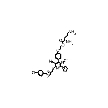 [C-]#[N+]c1c(N2CCCC2)nc(SCc2csc(-c3ccc(Cl)cc3)n2)c(C#N)c1-c1ccc(OCCOC(=O)[C@@H](N)CCCN)cc1